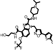 CC(C)N1CCC(NC(=O)c2nc3c(C(=O)NCCO)c(OCC(F)(F)F)ccc3n2Cc2cc(-c3ccc(Cl)s3)on2)CC1